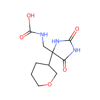 O=C(O)NCC1(C2CCCOC2)NC(=O)NC1=O